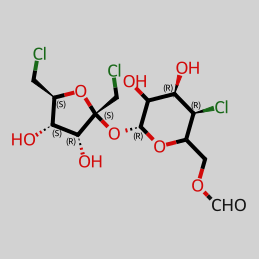 O=COCC1O[C@H](O[C@@]2(CCl)O[C@H](CCl)[C@@H](O)[C@H]2O)C(O)[C@@H](O)[C@H]1Cl